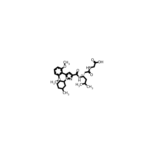 COc1cccc(OC)c1-c1cc(C(=O)N[C@H](CC(=O)NCC(=O)O)CC(C)C)nn1C1CCCC(C)C1